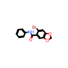 O=C(Nc1ccccc1)c1cc2c(cc1Br)OCO2